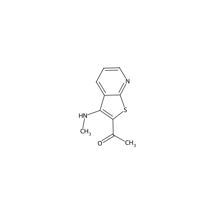 CNc1c(C(C)=O)sc2ncccc12